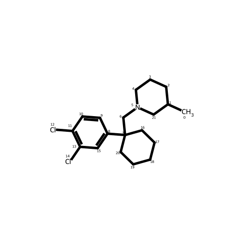 CC1CCCN(CC2(c3ccc(Cl)c(Cl)c3)CCCCC2)C1